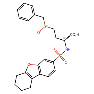 O=C(O)[C@H](CC[S+]([O-])Cc1ccccc1)NS(=O)(=O)c1ccc2c3c(oc2c1)CCCC3